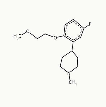 COCCOc1ccc(F)cc1C1CCN(C)CC1